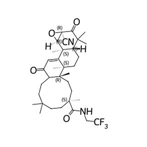 CC1(C)CCC2C(=O)C=C3[C@@]4(C)[C@H]5O[C@@]5(C#N)C(=O)C(C)(C)[C@@H]4CC[C@@]3(C)[C@]2(C)CC[C@@](C)(C(=O)NCC(F)(F)F)CC1